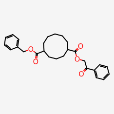 O=C(COC(=O)C1CCCCCC(C(=O)OCc2ccccc2)CCC1)c1ccccc1